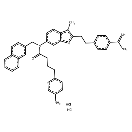 Cl.Cl.Cn1c(CCc2ccc(C(=N)N)cc2)nc2cc(N(Cc3ccc4ccccc4c3)C(=O)CCCc3ccc(N)cc3)ccc21